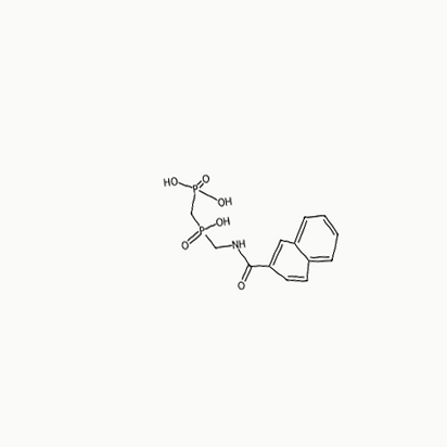 O=C(NCP(=O)(O)CP(=O)(O)O)c1ccc2ccccc2c1